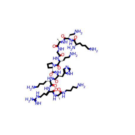 C[C@H](NC(=O)/C(=C/CCNC(=N)N)NC(=O)[C@H](CCCCN)NC(=O)[C@H](Cc1cnc[nH]1)NC(=O)[C@@H]1CCCN1C(=O)[C@@H](CCCN)NC(=O)CNC(=O)[C@H](C)NC(=O)[C@H](CCN)NC(=O)[C@@H](N)CCCCN)C(=O)NCCCCN